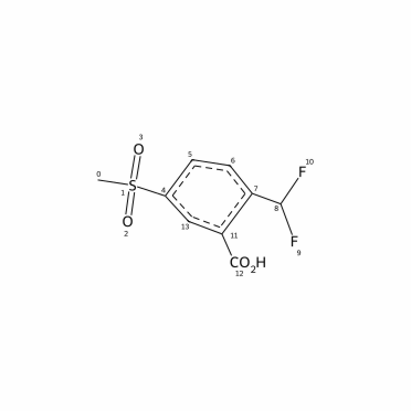 CS(=O)(=O)c1ccc(C(F)F)c(C(=O)O)c1